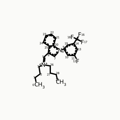 CCCC[N+](=Cc1cn(-c2cc(F)cc(C(F)(F)F)c2)c2ccccc12)CCCC